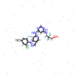 N#Cc1cc(F)c(-n2ncc3cnc(Nc4cc(NCC(F)(F)CO)ncn4)cc32)c(Cl)c1